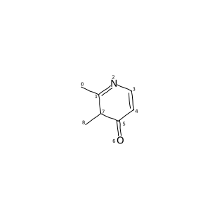 CC1=NC=CC(=O)C1C